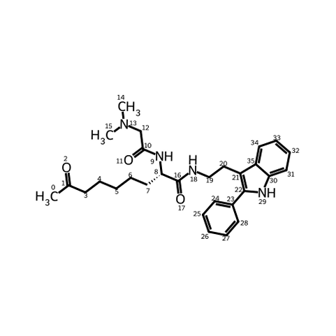 CC(=O)CCCCC[C@H](NC(=O)CN(C)C)C(=O)NCCc1c(-c2ccccc2)[nH]c2ccccc12